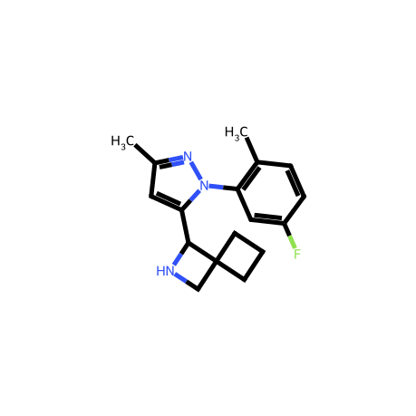 Cc1cc(C2NCC23CCC3)n(-c2cc(F)ccc2C)n1